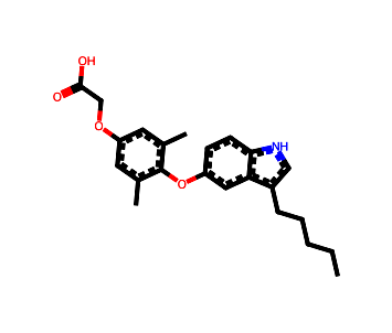 CCCCCc1c[nH]c2ccc(Oc3c(C)cc(OCC(=O)O)cc3C)cc12